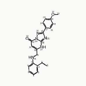 CCc1ccccc1NCc1cc(=O)n2nc(-c3ccc(OC)cc3)nc2[nH]1